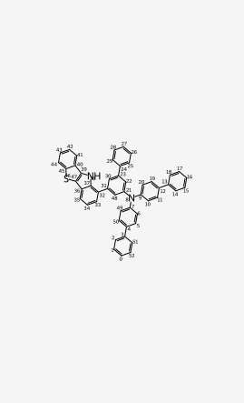 c1ccc(-c2ccc(N(c3ccc(-c4ccccc4)cc3)c3cc(-c4ccccc4)cc(-c4cccc5c4[nH]c4c6ccccc6sc54)c3)cc2)cc1